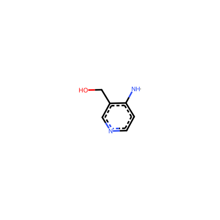 [NH]c1ccncc1CO